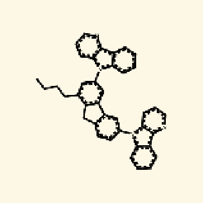 CCCCc1cc(-n2c3ccccc3c3ncccc32)cc2c1Cc1ccc(-n3c4ccccc4c4ncccc43)cc1-2